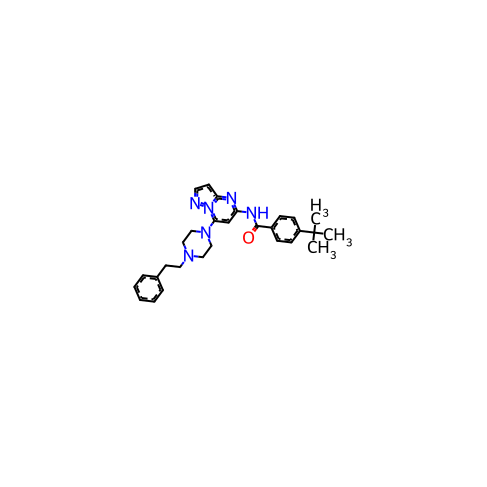 CC(C)(C)c1ccc(C(=O)Nc2cc(N3CCN(CCc4ccccc4)CC3)n3nccc3n2)cc1